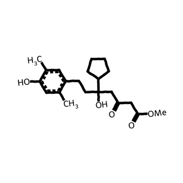 COC(=O)CC(=O)CC(O)(CCc1cc(C)c(O)cc1C)C1CCCC1